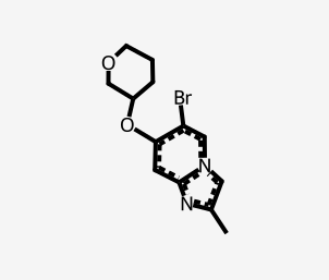 Cc1cn2cc(Br)c(OC3CCCOC3)cc2n1